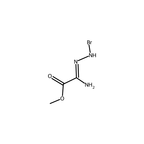 COC(=O)/C(N)=N/NBr